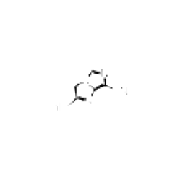 CCCC1=Nc2c(C#N)ncn2C1